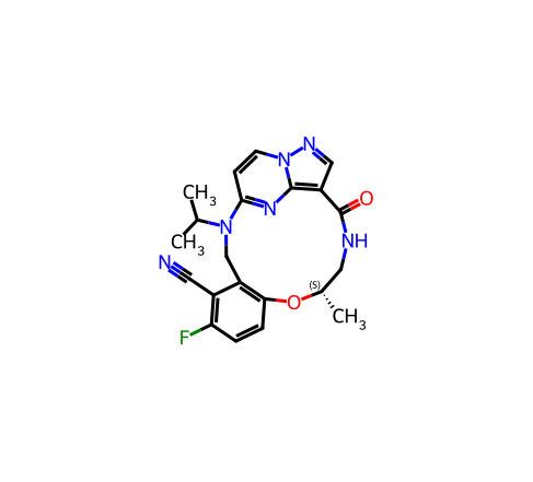 CC(C)N1Cc2c(ccc(F)c2C#N)O[C@@H](C)CNC(=O)c2cnn3ccc1nc23